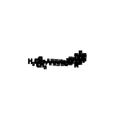 C=C(C)C(=O)OCCCCCCCCCCCOc1ccc(C=C(C#N)c2c(F)c(F)c(F)c(F)c2F)cc1